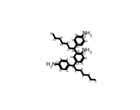 CCCCCCC(c1ccc(N)cc1)c1ccc(N)c(C(CCCCCC)c2ccc(N)cc2)c1